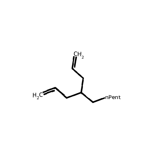 C=CC[C](CC=C)CCCCCC